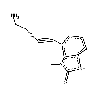 Cn1c(=O)[nH]c2cccc(C#CCCCN)c21